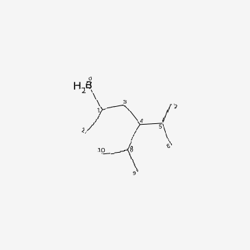 BC(C)CC(C(C)C)C(C)C